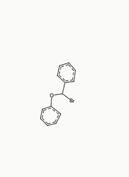 Br[C](Oc1ccccc1)c1ccccc1